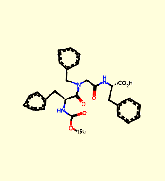 CC(C)(C)OC(=O)N[C@@H](Cc1ccccc1)C(=O)N(CC(=O)N[C@@H](Cc1ccccc1)C(=O)O)Cc1ccccc1